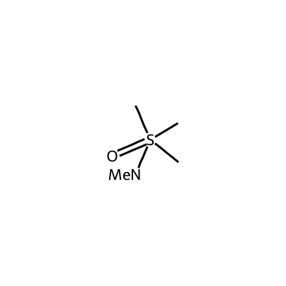 CNS(C)(C)(C)=O